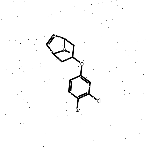 CN1C2C=CC1CC(Oc1ccc(Br)c(Cl)c1)C2